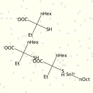 CCCCCCC(S)(CC)C(=O)[O-].CCCCCCC(S)(CC)C(=O)[O-].CCCCCCC(S)(CC)C(=O)[O-].CCCCCCC[CH2][Sn+3]